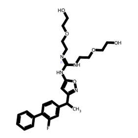 CC(c1ccc(-c2ccccc2)c(F)c1)c1cc(N/C(=N/CCOCCO)NCCOCCO)on1